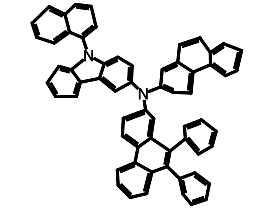 c1ccc(-c2c(-c3ccccc3)c3cc(N(c4ccc5c(ccc6ccccc65)c4)c4ccc5c(c4)c4ccccc4n5-c4cccc5ccccc45)ccc3c3ccccc23)cc1